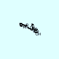 CCC(=O)N(CC(=O)O)C[C@H](CCCCNC(=O)OCc1ccccc1)NC(=O)OC(C)(C)C